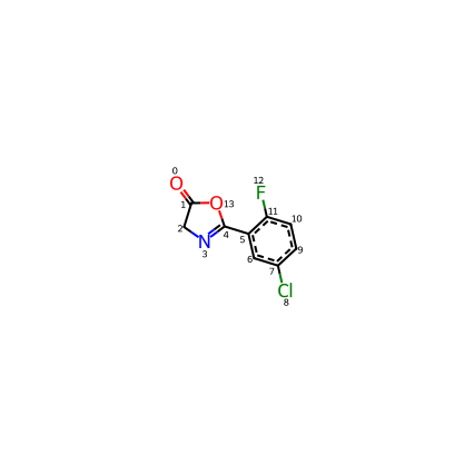 O=C1CN=C(c2cc(Cl)ccc2F)O1